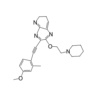 COc1ccc(C#Cc2nc3c(nc2OCCN2CCCCC2)=CCCN=3)c(C)c1